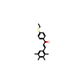 CCSc1ccc(C(=O)C=Cc2cc(C)c(C)c(C)c2C)cc1